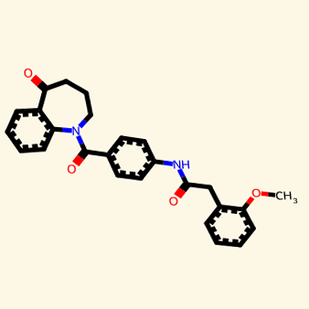 COc1ccccc1CC(=O)Nc1ccc(C(=O)N2CCCC(=O)c3ccccc32)cc1